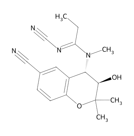 CCC(=NC#N)N(C)[C@H]1c2cc(C#N)ccc2OC(C)(C)[C@@H]1O